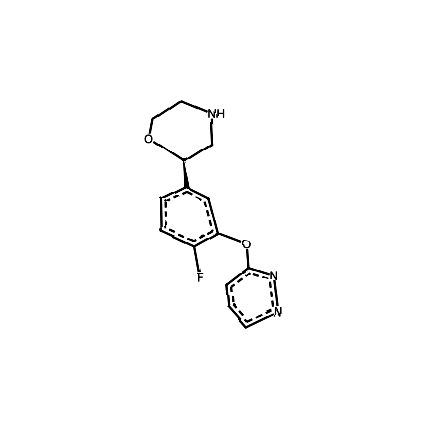 Fc1ccc([C@@H]2CNCCO2)cc1Oc1cccnn1